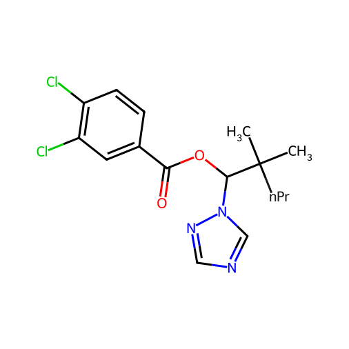 CCCC(C)(C)C(OC(=O)c1ccc(Cl)c(Cl)c1)n1cncn1